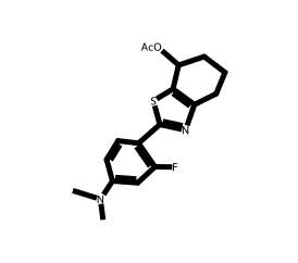 CC(=O)OC1CCCc2nc(-c3ccc(N(C)C)cc3F)sc21